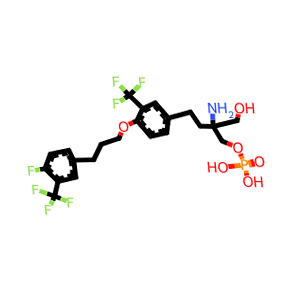 NC(CO)(CCc1ccc(OCCCc2ccc(F)c(C(F)(F)F)c2)c(C(F)(F)F)c1)COP(=O)(O)O